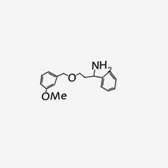 COc1cccc(COCCC(N)c2ccccc2)c1